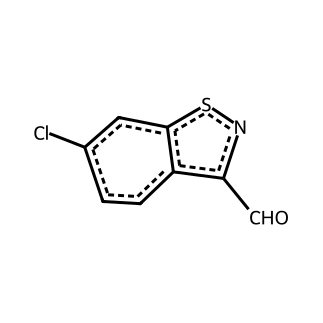 O=Cc1nsc2cc(Cl)ccc12